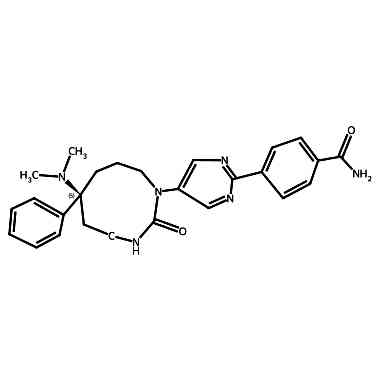 CN(C)[C@@]1(c2ccccc2)CCCN(c2cnc(-c3ccc(C(N)=O)cc3)nc2)C(=O)NCC1